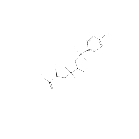 CC(C)(CC(Cl)C(=O)O)C(Cl)CC(Cl)(Cl)c1ccc(Cl)cc1